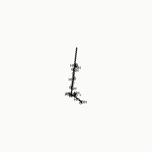 CCCCCCCCCCCCCCCCCC(=O)NC(CCC(=O)NCCOCCOCC(=O)NCCOCCOCC(=O)NCCCCC(NO)C(=O)ONC(CCCCNCCCC(=O)O)C(=O)ON)C(=O)O